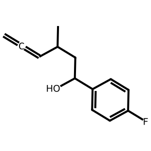 C=C=CC(C)CC(O)c1ccc(F)cc1